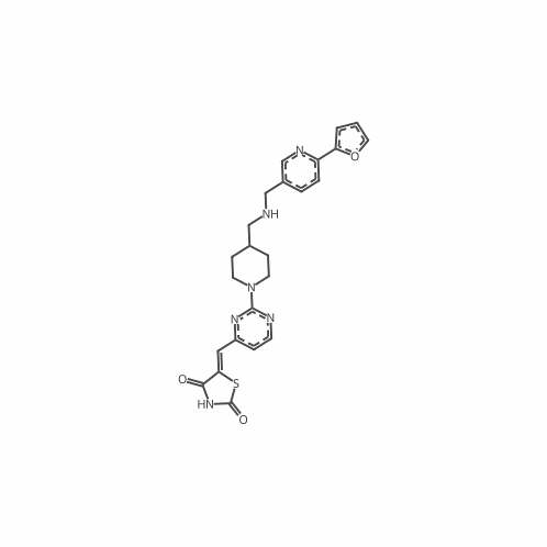 O=C1NC(=O)/C(=C/c2ccnc(N3CCC(CNCc4ccc(-c5ccco5)nc4)CC3)n2)S1